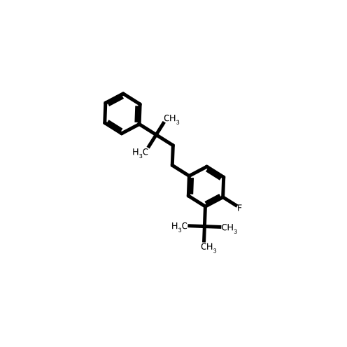 CC(C)(C)c1cc(CCC(C)(C)c2ccccc2)ccc1F